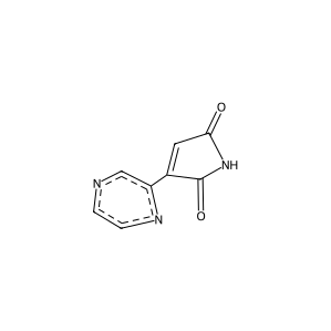 O=C1C=C(c2cnccn2)C(=O)N1